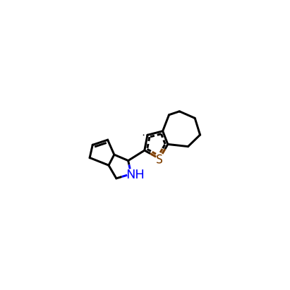 [c]1c(C2NCC3CC=CC32)sc2c1CCCCC2